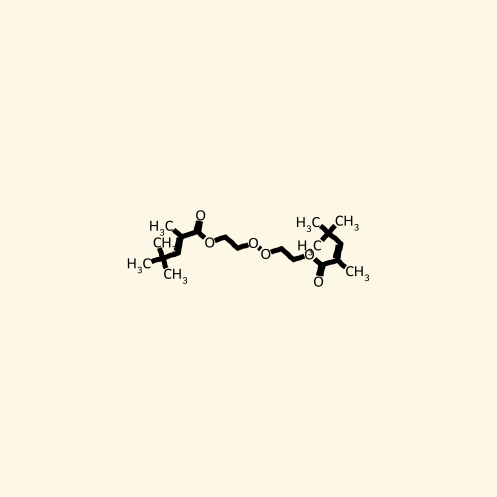 CC(=CC(C)(C)C)C(=O)OCCOOCCOC(=O)C(C)=CC(C)(C)C